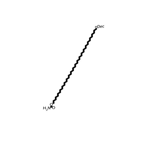 CCCCCCCCCCCCCCCCCCCCCCCCCCCCCCCCCCCCCCCCCCCCCCCCCCCOC(N)=O